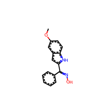 COc1ccc2[nH]c(C(=NO)c3ccccc3)cc2c1